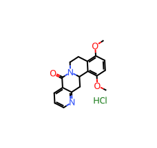 COc1ccc(OC)c2c1CCN1C(=O)c3cccnc3CC21.Cl